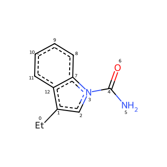 CCc1cn(C(N)=O)c2cc[c]cc12